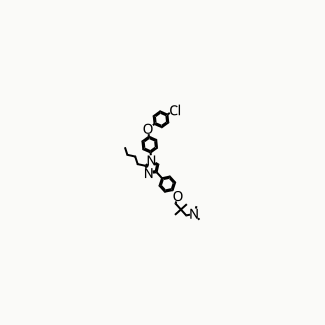 CCCCc1nc(-c2ccc(OCC(C)(C)CN(C)C)cc2)cn1-c1ccc(Oc2ccc(Cl)cc2)cc1